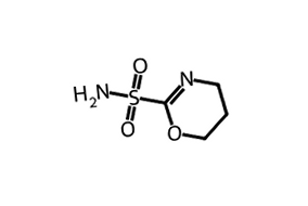 NS(=O)(=O)C1=NCCCO1